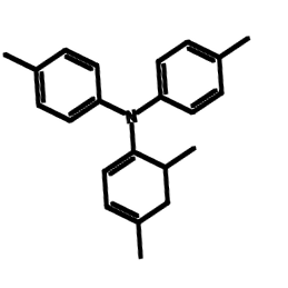 CC1=CC=C(N(c2ccc(C)cc2)c2ccc(C)cc2)C(C)C1